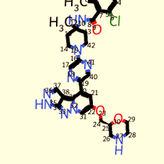 Cc1cccc(Cl)c1C(=O)NC1(C)CCN(c2cnc(-c3cc(OC[C@@H]4CNCCO4)cn4nc5[nH]ncc5c34)cn2)CC1